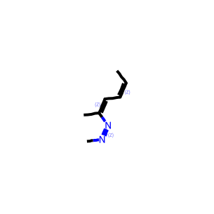 C\C=C/C=C(C)\N=N/C